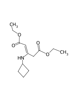 CCOC(=O)/C=C(/CC(=O)OCC)NC1CCC1